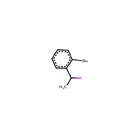 CC(I)c1ccccc1C(C)(C)C